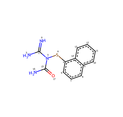 N=C(N)N(Sc1cccc2ccccc12)C(N)=O